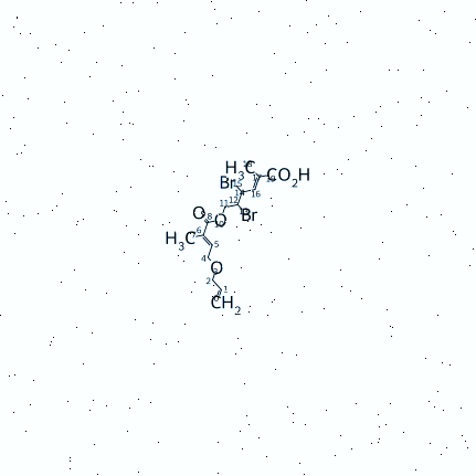 C=CCOCC=C(C)C(=O)OCC(Br)C(Br)C=C(C)C(=O)O